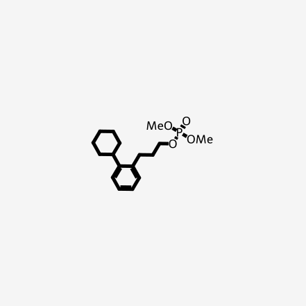 COP(=O)(OC)OCCCc1ccccc1C1CCCCC1